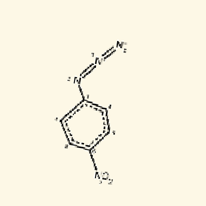 [N-]=[N+]=Nc1ccc([N+](=O)[O-])cc1